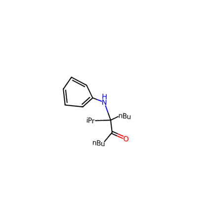 CCCCC(=O)C(CCCC)(Nc1ccccc1)C(C)C